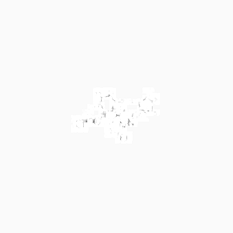 CC(=O)N1N=C(c2ccccc2)CC1(CCOCCl)c1ccccc1